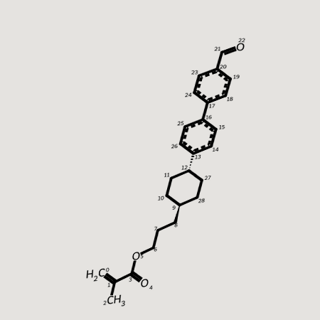 C=C(C)C(=O)OCCC[C@H]1CC[C@H](c2ccc(-c3ccc(C=O)cc3)cc2)CC1